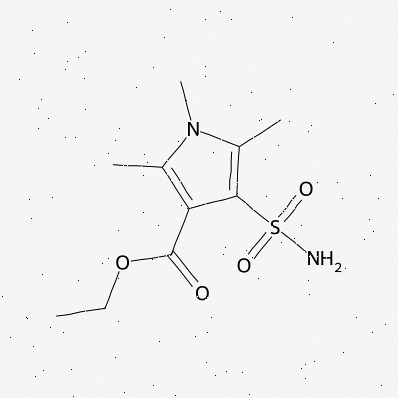 CCOC(=O)c1c(S(N)(=O)=O)c(C)n(C)c1C